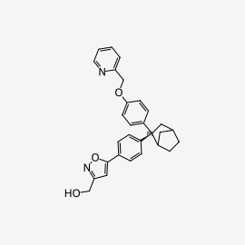 OCc1cc(-c2ccc([C@@]3(c4ccc(OCc5ccccn5)cc4)CC4CCC3C4)cc2)on1